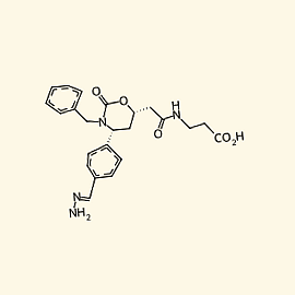 NN=Cc1ccc([C@H]2C[C@@H](CC(=O)NCCC(=O)O)OC(=O)N2Cc2ccccc2)cc1